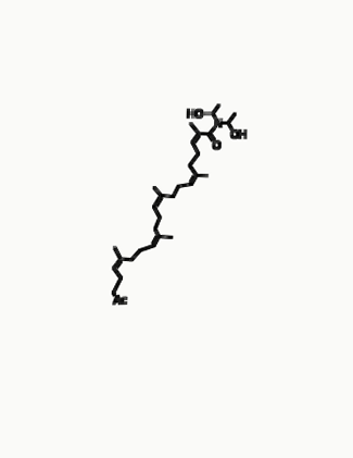 CC(=O)CCC=C(C)CCC=C(C)CCC=C(C)CCC=C(C)CCC=C(C)C(=O)N(C(C)O)C(C)O